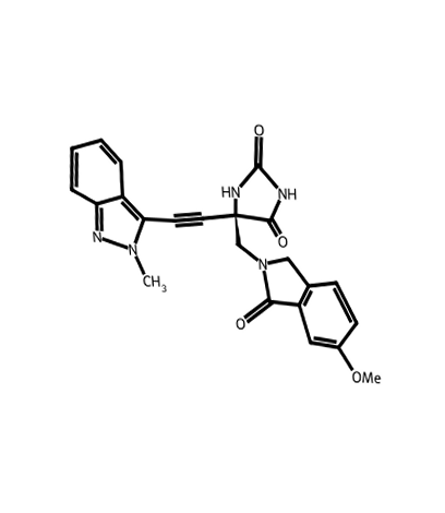 COc1ccc2c(c1)C(=O)N(C[C@@]1(C#Cc3c4ccccc4nn3C)NC(=O)NC1=O)C2